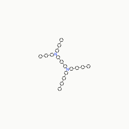 c1ccc(-c2ccc(-c3ccc(-c4ccc(N(c5ccc(-c6ccc(-c7ccc(-c8ccccc8)cc7)cc6)cc5)c5ccc(-c6ccc(-c7ccc(N(c8ccc(-c9ccc(-c%10ccccc%10)cc9)cc8)c8ccc(-c9ccc(-c%10ccccc%10)cc9)cc8)cc7)cc6)cc5)cc4)cc3)cc2)cc1